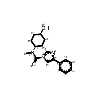 CN(C(=O)n1cnc(-c2ccccc2)c1)[C@H]1CC[C@H](O)CC1